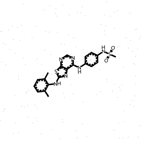 Cc1cccc(C)c1Nc1nc2c(Nc3ccc(NS(C)(=O)=O)cc3)ncnc2s1